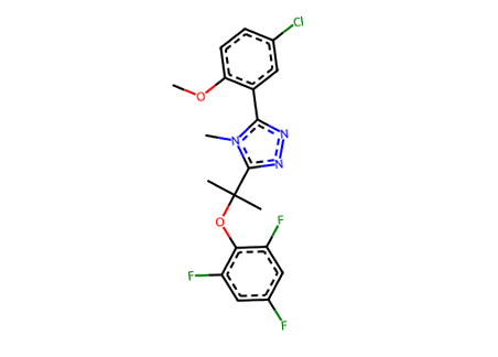 COc1ccc(Cl)cc1-c1nnc(C(C)(C)Oc2c(F)cc(F)cc2F)n1C